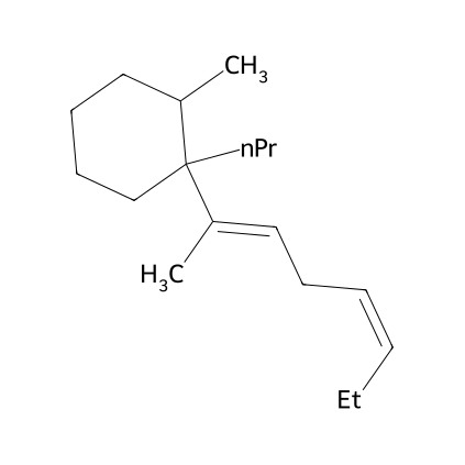 CC/C=C\CC=C(C)C1(CCC)CCCCC1C